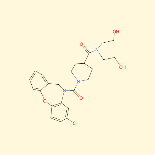 O=C(C1CCN(C(=O)N2Cc3ccccc3Oc3ccc(Cl)cc32)CC1)N(CCO)CCO